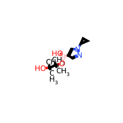 CC(C)(O)C(C)(C)OB(O)c1cnn(C2CC2)c1